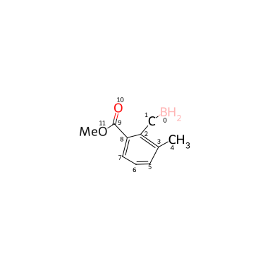 BCc1c(C)cccc1C(=O)OC